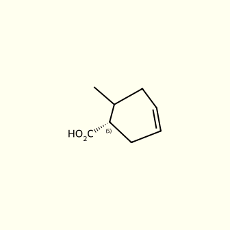 CC1CC=CC[C@@H]1C(=O)O